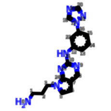 NCCCn1ccc2cnc(Nc3cccc(-n4cncn4)c3)nc21